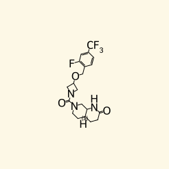 O=C1CC[C@H]2CCN(C(=O)N3CC(OCc4ccc(C(F)(F)F)cc4F)C3)CC2N1